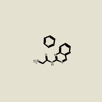 NCC(=O)Nc1ncc2ccccc2n1.c1ccccc1